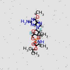 CCOc1nc(N)nc2c1ncn2[C@@H]1O[C@]2(F)CO[P@@](=O)(N[C@H](C)C(=O)OC(C)C)O[C@H]2[C@@]1(C)F